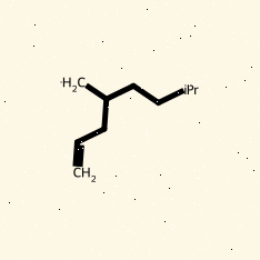 [CH2]C(C)CCC([CH2])CC=C